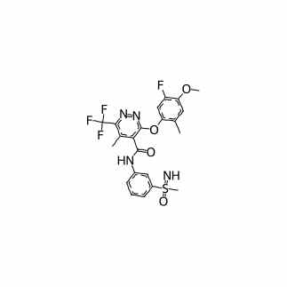 COc1cc(C)c(Oc2nnc(C(F)(F)F)c(C)c2C(=O)Nc2cccc(S(C)(=N)=O)c2)cc1F